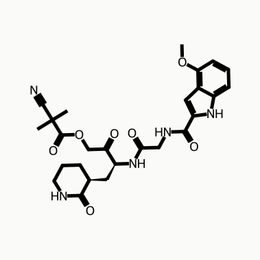 COc1cccc2[nH]c(C(=O)NCC(=O)N[C@@H](C[C@@H]3CCCNC3=O)C(=O)COC(=O)C(C)(C)C#N)cc12